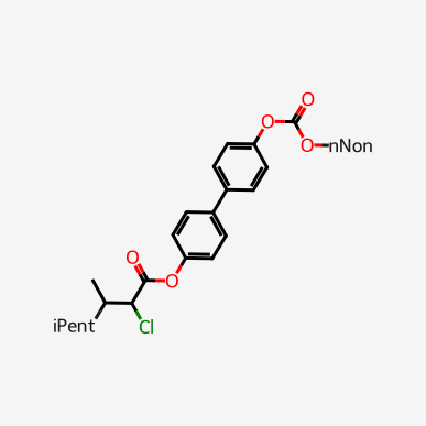 CCCCCCCCCOC(=O)Oc1ccc(-c2ccc(OC(=O)C(Cl)C(C)C(C)CCC)cc2)cc1